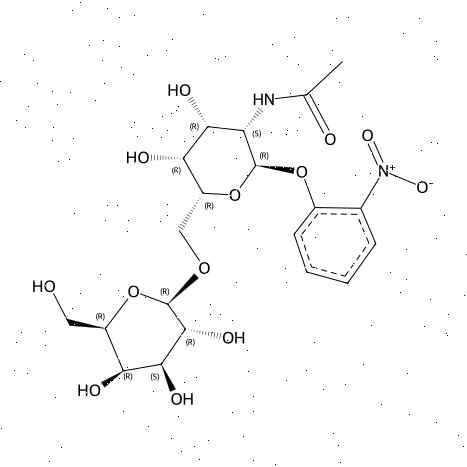 CC(=O)N[C@@H]1[C@@H](Oc2ccccc2[N+](=O)[O-])O[C@H](CO[C@@H]2O[C@H](CO)[C@H](O)[C@H](O)[C@H]2O)[C@H](O)[C@@H]1O